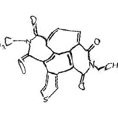 CN1C(=O)c2ccc3c4c(c5cscc5c(c24)C1=O)C(=O)N(C)C3=O